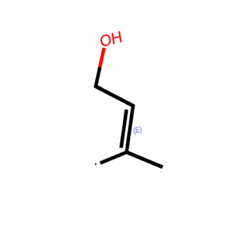 [CH2]/C(C)=C\CO